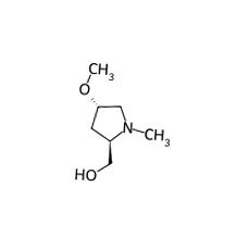 CO[C@H]1C[C@H](CO)N(C)C1